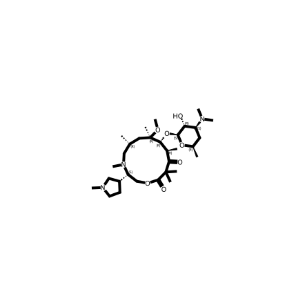 CO[C@]1(C)C[C@@H](C)CN(C)[C@@H](C2CCN(C)C2)COC(=O)C(C)(C)C(=O)[C@H](C)[C@H]1O[C@@H]1O[C@H](C)C[C@H](N(C)C)[C@H]1O